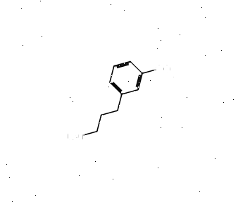 CC(C)(C)CCCc1cccc(C(=O)O)c1